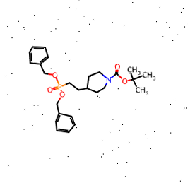 CC(C)(C)OC(=O)N1CCC(CCP(=O)(OCc2ccccc2)OCc2ccccc2)CC1